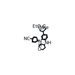 CCOC(=O)CC(COC)c1ccc(NC2CCOCC2)c(Nc2ccc(C#N)cc2)c1